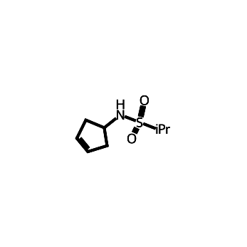 CC(C)S(=O)(=O)NC1CC=CC1